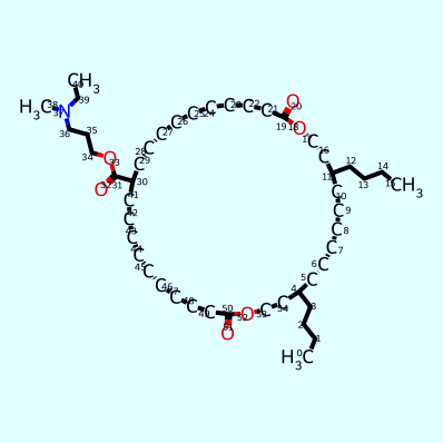 CCCCC1CCCCCCC(CCCC)CCOC(=O)CCCCCCCCCC(C(=O)OCCCN(C)CC)CCCCCCCCCC(=O)OCC1